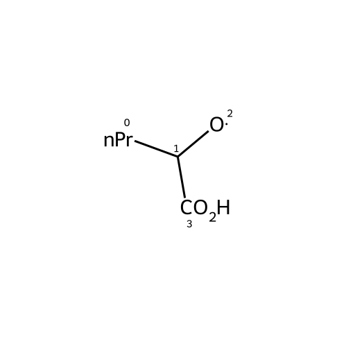 CCCC([O])C(=O)O